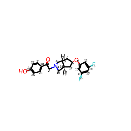 O=C(CN1C[C@H]2C[C@H](Oc3cc(F)cc(F)c3)C[C@H]2C1)c1ccc(O)cc1